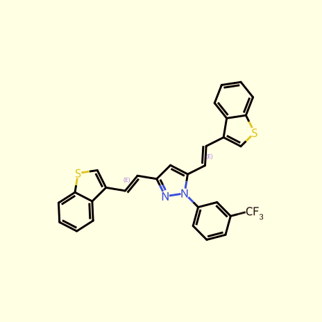 FC(F)(F)c1cccc(-n2nc(/C=C/c3csc4ccccc34)cc2/C=C/c2csc3ccccc23)c1